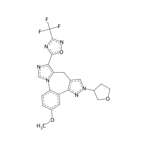 COc1ccc2c(c1)-c1nn(C3CCOC3)cc1Cc1c(-c3nc(C(F)(F)F)no3)ncn1-2